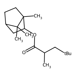 CC(CC(C)(C)C)C(=O)OC1CC2CCC1(C)C2(C)C